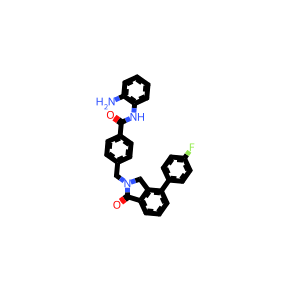 Nc1ccccc1NC(=O)c1ccc(CN2Cc3c(cccc3-c3ccc(F)cc3)C2=O)cc1